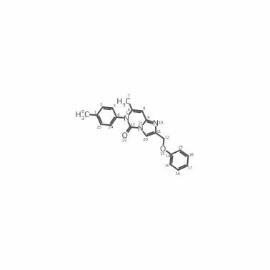 Cc1ccc(-n2c(C)cc3nc(COc4ccccc4)cn3c2=O)cc1